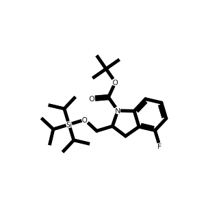 CC(C)[Si](OCC1Cc2c(F)cccc2N1C(=O)OC(C)(C)C)(C(C)C)C(C)C